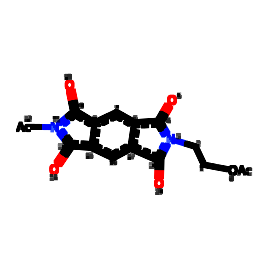 CC(=O)OCCn1c(=O)c2cc3c(=O)n(C(C)=O)c(=O)c3cc2c1=O